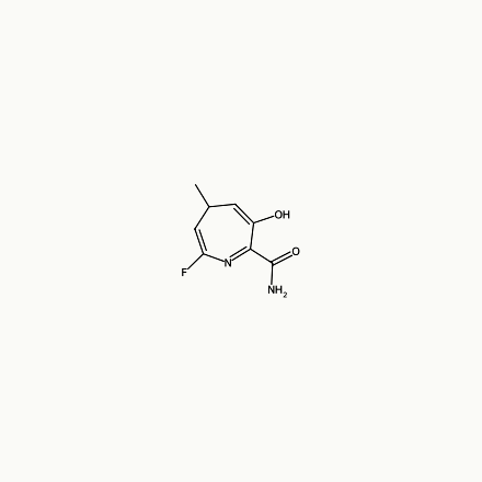 CC1C=C(F)N=C(C(N)=O)C(O)=C1